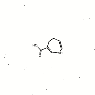 O=C(O)C1=NNC=CCC1